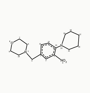 O=[N+]([O-])c1cc(CN2CCOCC2)ccc1N1CCCCC1